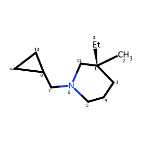 CC[C@@]1(C)CCCN(CC2CC2)C1